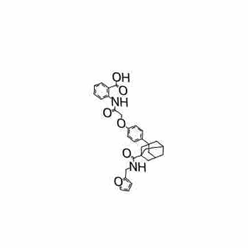 O=C(COc1ccc(C23CC4CC(CC(C(=O)NCc5ccco5)(C4)C2)C3)cc1)Nc1ccccc1C(=O)O